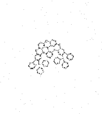 c1ccc(C2(c3ccccc3)c3ccccc3-c3cc4c(cc32)N2c3cccc5c3B3c6c(ccc(c62)O4)Oc2ccc4c(c23)N5c2cc3c(cc2O4)-c2ccccc2C3(c2ccccc2)c2ccccc2)cc1